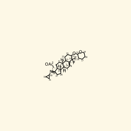 CC(=O)OC[C@]12CC[C@H]3[C@@H](CC=C4C(F)(F)C(OC5CCCCO5)CC[C@@]43C)[C@@H]1CCC2=NC1CC1